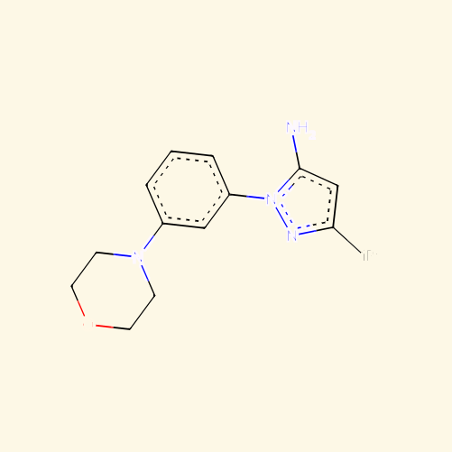 CC(C)c1cc(N)n(-c2cccc(N3CCOCC3)c2)n1